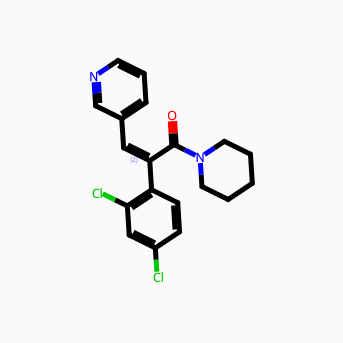 O=C(/C(=C\c1cccnc1)c1ccc(Cl)cc1Cl)N1CCCCC1